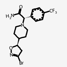 NC(=O)[C@H](c1ccc(C(F)(F)F)cc1)N1CCC([C@H]2CC(Br)=NO2)CC1